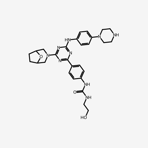 O=C(NCCO)Nc1ccc(-c2nc(Nc3ccc(N4CCNCC4)cc3)nc(N3CC4CCC(C3)O4)n2)cc1